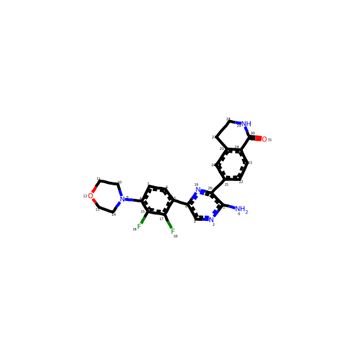 Nc1ncc(-c2ccc(N3CCOCC3)c(F)c2F)nc1-c1ccc2c(c1)CCNC2=O